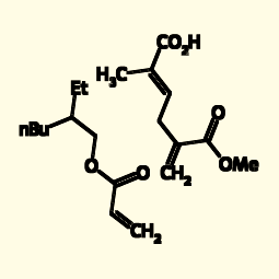 C=C(CC=C(C)C(=O)O)C(=O)OC.C=CC(=O)OCC(CC)CCCC